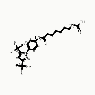 O=C(O)NCCCCCCC(=O)Nc1ccc(-n2nc(C(F)(F)F)cc2C(F)(F)F)cc1